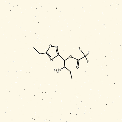 CCc1nc(C(OC(=O)C(F)(F)F)C(N)CC)no1